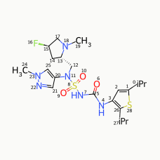 CC(C)c1cc(NC(=O)NS(=O)(=O)N(C[C@@H]2C[C@@H](F)CN2C)c2cnn(C)c2)c(C(C)C)s1